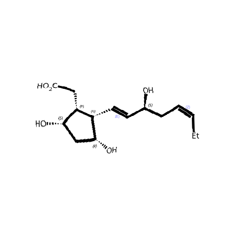 CC/C=C\C[C@H](O)/C=C/[C@H]1[C@@H](CC(=O)O)[C@@H](O)C[C@H]1O